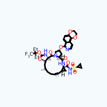 CCC(CC)(OC(=O)N[C@@H]1C(=O)N2C[C@H](Oc3nccc4c5c(ccc34)OCCO5)C[C@H]2C(=O)N[C@]2(C(=O)NS(=O)(=O)C3CC3)C[C@H]2/C=C\CC[C@H](C)C[C@H]1C)C(F)(F)F